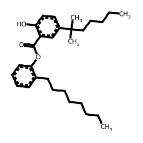 CCCCCCCCc1ccccc1OC(=O)c1cc(C(C)(C)CCCCC)ccc1O